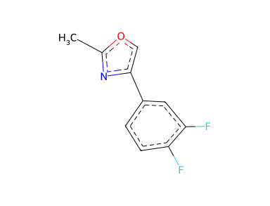 Cc1nc(-c2ccc(F)c(F)c2)co1